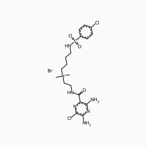 C[N+](C)(CCCCNS(=O)(=O)c1ccc(Cl)cc1)CCNC(=O)c1nc(Cl)c(N)nc1N.[Br-]